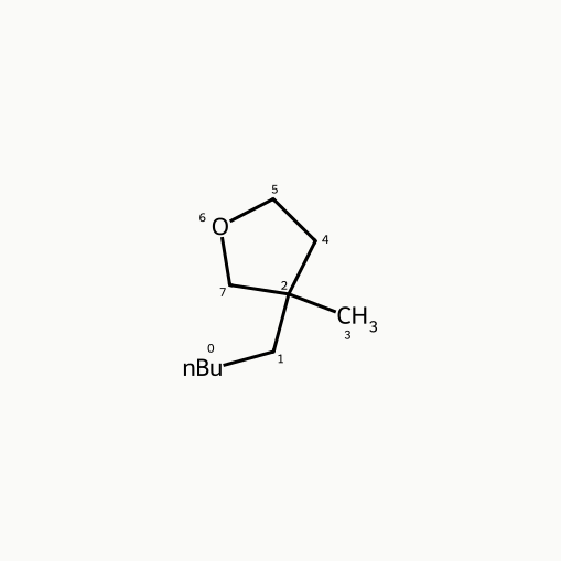 CCCCCC1(C)CCOC1